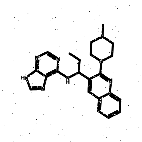 CCC(Nc1ncnc2[nH]cnc12)c1cc2ccccc2nc1N1CCN(C)CC1